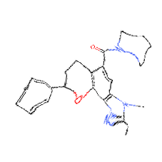 Cc1nc2c3c(c(C(=O)N4CCCC4)cc2n1C)CCC(c1ccccc1)O3